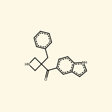 O=C(c1ccc2[nH]ccc2c1)C1(Cc2ccccc2)CNC1